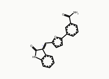 NC(=O)c1cccc(-c2ccc(/C=C3/C(=O)Nc4ccccc43)o2)c1